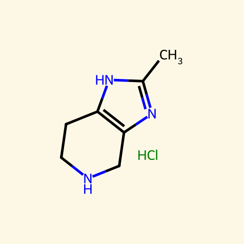 Cc1nc2c([nH]1)CCNC2.Cl